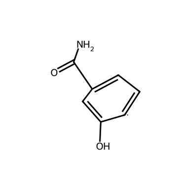 NC(=O)c1cc[c]c(O)c1